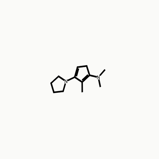 CC1=C(N(C)C)CC=C1N1CCCC1